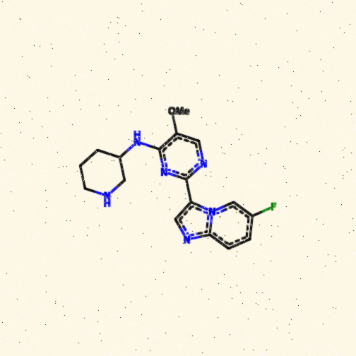 COc1cnc(-c2cnc3ccc(F)cn23)nc1NC1CCCNC1